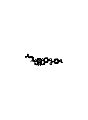 COc1ccc(C(=O)O[C@H]2CC[C@@]3(C)C(=CC[C@@H]4C3CC[C@]3(C)[C@@H]([C@H](C)/C=C\CC(C)C)CC[C@@H]43)C2)cc1